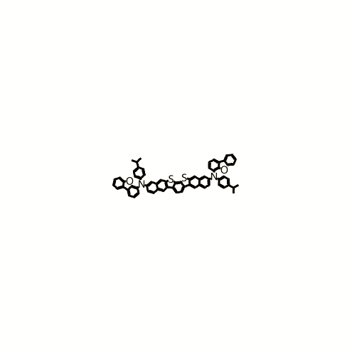 CC(C)c1ccc(N(c2ccc3cc4c(cc3c2)sc2c4ccc3c4cc5ccc(N(c6ccc(C(C)C)cc6)c6cccc7c6oc6ccccc67)cc5cc4sc32)c2cccc3c2oc2ccccc23)cc1